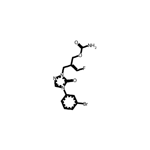 NC(=O)OCC(=CF)Cn1ncn(-c2cccc(Br)c2)c1=O